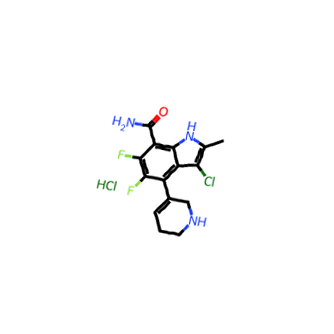 Cc1[nH]c2c(C(N)=O)c(F)c(F)c(C3=CCCNC3)c2c1Cl.Cl